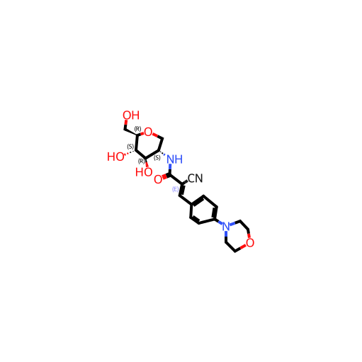 N#C/C(=C\c1ccc(N2CCOCC2)cc1)C(=O)N[C@H]1CO[C@H](CO)[C@@H](O)[C@@H]1O